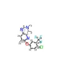 CCN(C)/C=N\c1cnc(Oc2ccc(Cl)c(C(F)(F)F)c2)c(C)c1